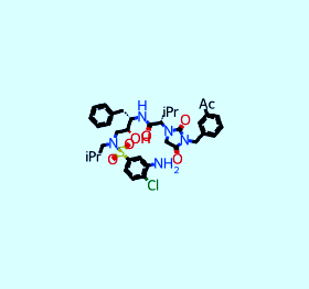 CC(=O)c1cccc(CN2C(=O)CN([C@H](C(=O)N[C@@H](Cc3ccccc3)[C@@H](O)CN(CC(C)C)S(=O)(=O)c3ccc(Cl)c(N)c3)C(C)C)C2=O)c1